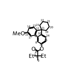 CCC(C)(CC)C(=O)Oc1ccc(C2(c3ccc(OC)cc3)CCCCC2)cc1